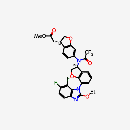 CCOc1nc2ccc(F)c(F)c2n1-c1cccc2c1OC[C@H]2N(C(=O)C(F)(F)F)c1ccc2c(c1)OC[C@H]2CC(=O)OC